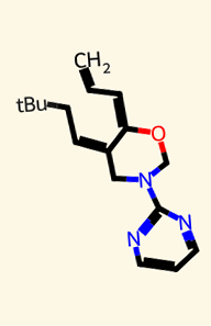 C=C/C=C1/OCN(c2ncccn2)C/C1=C/CC(C)(C)C